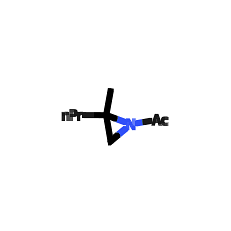 CCCC1(C)CN1C(C)=O